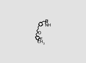 Cc1ccc(CC(=O)CCCc2ccc(CC3(C=N)CCC3)cc2)cc1F